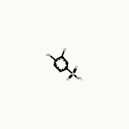 NS(=O)(=O)c1ccc(S)c(Cl)c1